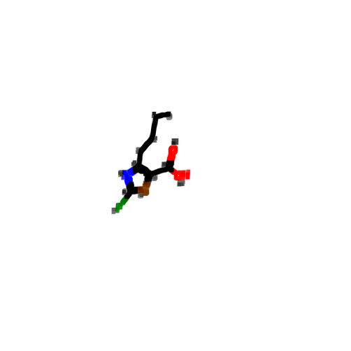 CCCCc1nc(F)sc1C(=O)O